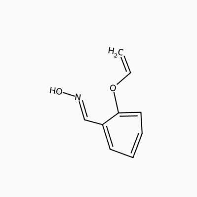 C=COc1ccccc1C=NO